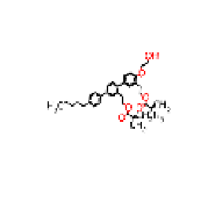 C=C(C)C(=O)OCCc1cc(-c2ccc(-c3ccc(CCCCC)cc3)cc2CCOC(=O)C(=C)C)ccc1OCCO